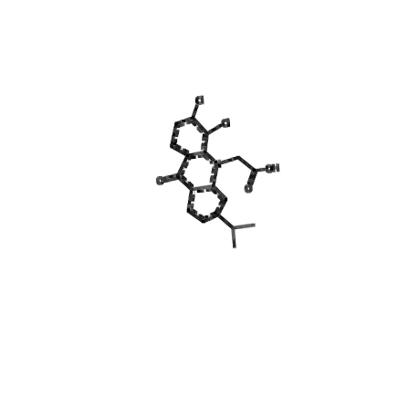 CC(C)c1ccc2c(=O)c3ccc(Cl)c(Cl)c3n(CC(=O)O)c2c1